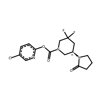 O=C(Oc1ccc(Cl)cn1)N1C[C@H](N2CCCC2=O)CC(F)(F)C1